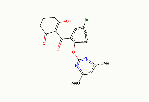 COc1cc(OC)nc(Oc2ccc(Br)cc2C(=O)C2=C(O)CCCC2=O)n1